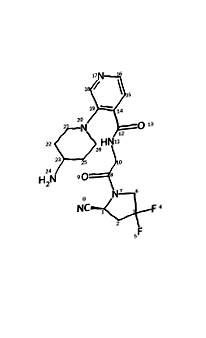 N#C[C@@H]1CC(F)(F)CN1C(=O)CNC(=O)c1ccncc1N1CCC(N)CC1